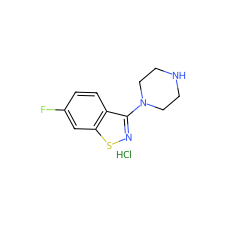 Cl.Fc1ccc2c(N3CCNCC3)nsc2c1